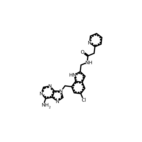 Nc1ncnc2c1ncn2Cc1cc(Cl)cc2cc(CNC(=O)Cc3ccccn3)[nH]c12